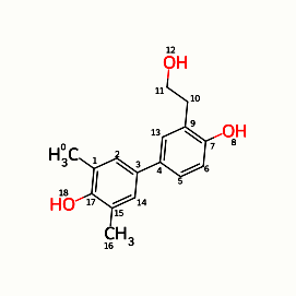 Cc1cc(-c2ccc(O)c(CCO)c2)cc(C)c1O